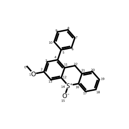 COc1cc(-c2ccccc2)c2c(c1)[S+]([O-])c1ccccc1C2